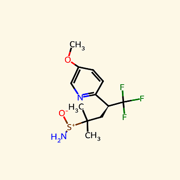 COc1ccc([C@H](CC(C)(C)[S+](N)[O-])C(F)(F)F)nc1